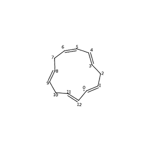 [C]1=C/C/C=C/C=C\C/C=C/C/C=C/1